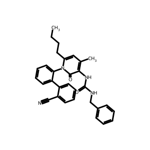 CCCCc1cc(C)c(NC(=O)NCc2ccccc2)c(=O)n1-c1ccccc1-c1ccccc1C#N